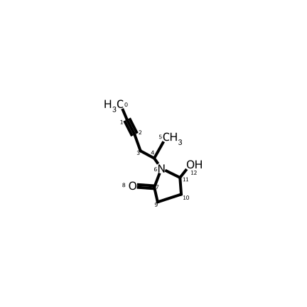 CC#CCC(C)N1C(=O)CCC1O